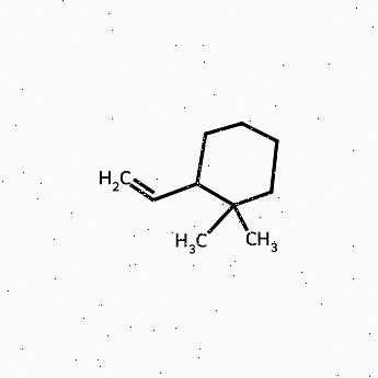 C=CC1CCCCC1(C)C